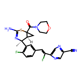 C[C@]1(c2cc(/C=C(\F)c3cnc(C#N)cn3)ccc2F)N=C(N)SC2(C(=O)N3CCOCC3)C[C@H]21